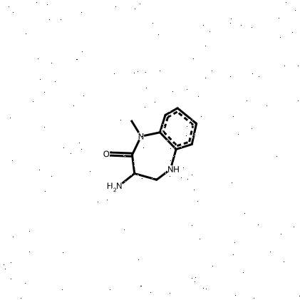 CN1C(=O)C(N)CNc2ccccc21